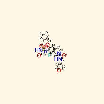 O=C1CN(c2c(OCc3ccccc3)cc3c(c2F)CN(C(=O)NCC2CCOCC2)CC3)S(=O)(=O)N1